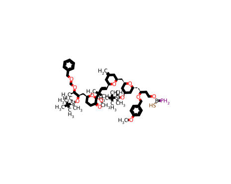 C=C1C[C@@H](C[C@H]2C[C@@H](O[Si](C)(C)C(C)(C)C)C[C@@H](C[C@H](CCOB(P)S)OCc3ccc(OC)cc3)O2)O[C@@H](/C=C/C(C)(C)[C@]2(OC)O[C@H](C[C@@H](O[Si](C)(C)C(C)(C)C)[C@@H](C)OCOCc3ccccc3)CCC2=O)C1